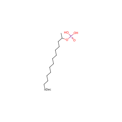 CCCCCCCCCCCCCCCCCCCCCC(C)OP(=O)(O)O